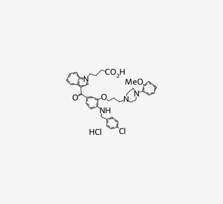 COc1ccccc1N1CCN(CCCOc2cc(C(=O)c3cn(CCCC(=O)O)c4ccccc34)ccc2NCc2ccc(Cl)cc2)CC1.Cl